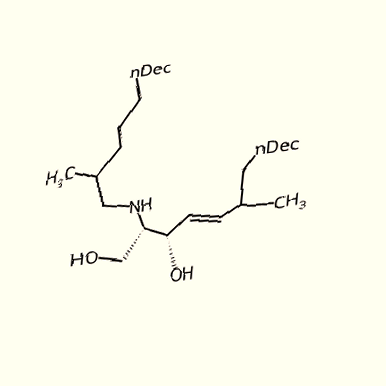 CCCCCCCCCCCCCC(C)CN[C@@H](CO)[C@@H](O)/C=C/C(C)CCCCCCCCCCC